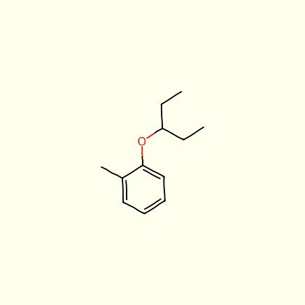 CCC(CC)Oc1ccccc1C